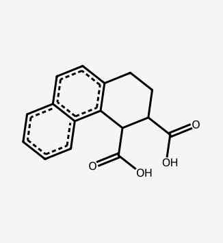 O=C(O)C1CCc2ccc3ccccc3c2C1C(=O)O